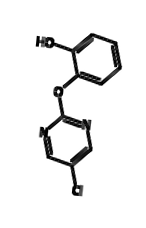 Oc1ccccc1Oc1ncc(Cl)cn1